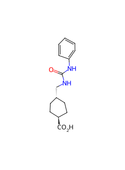 O=C(NC[C@H]1CC[C@H](C(=O)O)CC1)Nc1ccccc1